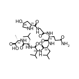 CC(C)C[C@H](NC(=O)[C@H](CCC(N)=O)NC(=O)CNC(=O)[C@@H]1C[C@@H](O)CN1)C(=O)N[C@H](C(=O)N[C@@H](CC(C)C)C(=O)N[C@@H](C)C(=O)O)C(C)C